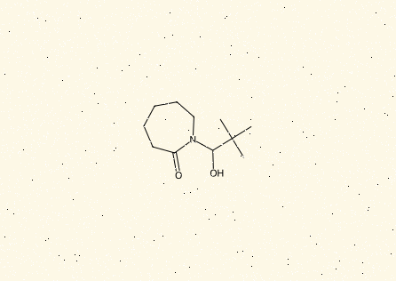 CC(C)(C)C(O)N1CCCCCC1=O